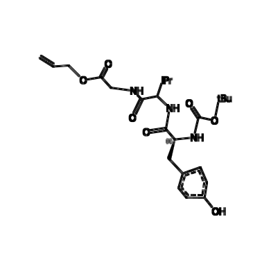 C=CCOC(=O)CNC(=O)C(NC(=O)[C@H](Cc1ccc(O)cc1)NC(=O)OC(C)(C)C)C(C)C